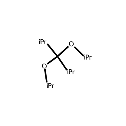 CC(C)OC(OC(C)C)(C(C)C)C(C)C